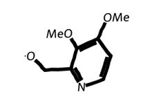 COc1ccnc(C[O])c1OC